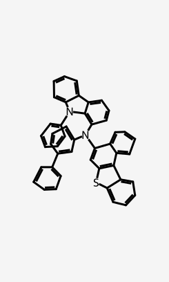 c1ccc(-c2cccc(N(c3cc4sc5ccccc5c4c4ccccc34)c3cccc4c5ccccc5n(-c5ccccc5)c34)c2)cc1